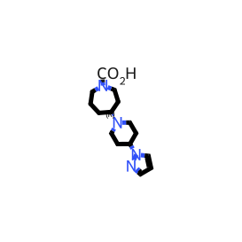 O=C(O)N1CCC[C@@H](N2CCC(n3cccn3)CC2)CC1